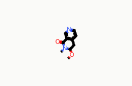 COC1Cc2ccncc2C(=O)N1C